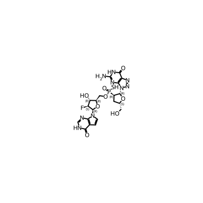 Nc1nc2c(nnn2[C@@H]2O[C@H](CO)C[C@H]2P(=O)(S)OC[C@H]2O[C@@H](n3ccc4c(=O)[nH]cnc43)[C@@H](F)[C@@H]2O)c(=O)[nH]1